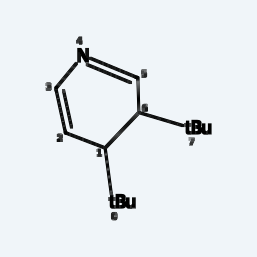 CC(C)(C)C1C=CN=CC1C(C)(C)C